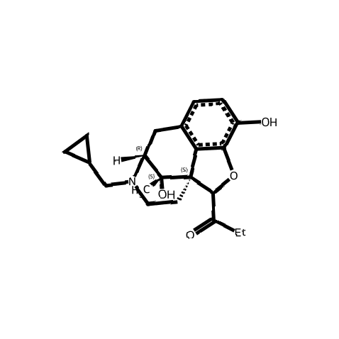 CCC(=O)C1Oc2c(O)ccc3c2[C@@]12CCN(CC1CC1)[C@H](C3)[C@@]2(C)O